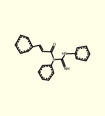 N=C(Nc1ccccc1)N(C(=O)C=Cc1ccccc1)c1ccccc1